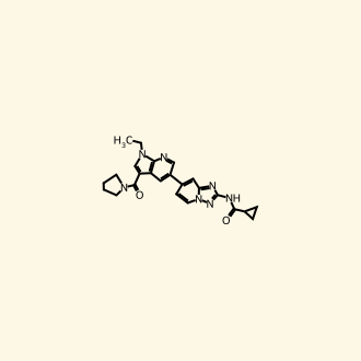 CCn1cc(C(=O)N2CCCC2)c2cc(-c3ccn4nc(NC(=O)C5CC5)nc4c3)cnc21